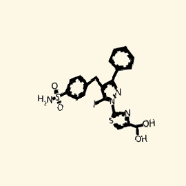 NS(=O)(=O)c1ccc(Cc2c(-c3ccccc3)nn(-c3nc(C(O)O)cs3)c2I)cc1